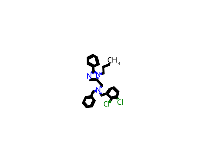 CCCCn1c(CN(Cc2ccccc2)Cc2cccc(Cl)c2Cl)cnc1-c1ccccc1